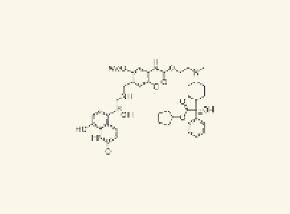 COc1cc(NC(=O)OCCN(C)[C@H]2CC[C@H]([C@](O)(C(=O)OC3CCCC3)c3ccccc3)CC2)c(Cl)cc1CNC[C@H](O)c1ccc(O)c2[nH]c(=O)ccc12